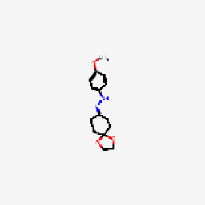 COc1ccc(NN=C2CCC3(CC2)OCCO3)cc1